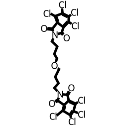 O=C1c2c(Cl)c(Cl)c(Cl)c(Cl)c2C(=O)N1CCCCOCCCCN1C(=O)c2c(Cl)c(Cl)c(Cl)c(Cl)c2C1=O